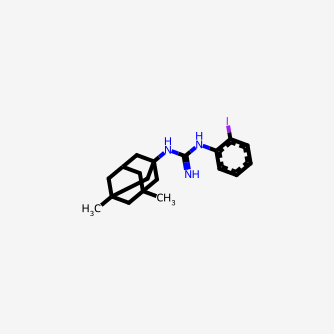 CC12CC3CC(C)(C1)CC(NC(=N)Nc1ccccc1I)(C3)C2